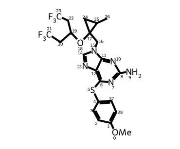 COc1ccc(Sc2nc(N)nc3c2ncn3CC2(O[C](CC(F)(F)F)CC(F)(F)F)CC2C)cc1